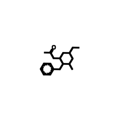 CCC1CC(C)C(Cc2ccccc2)C(CC(C)=O)C1